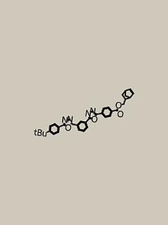 CC(C)(C)c1ccc(-c2nnc(-c3cccc(-c4nnc(-c5ccc(C(=O)OCC6CC7C=CC6C7)cc5)o4)c3)o2)cc1